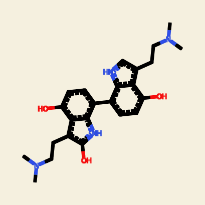 CN(C)CCc1c[nH]c2c(-c3ccc(O)c4c(CCN(C)C)c(O)[nH]c34)ccc(O)c12